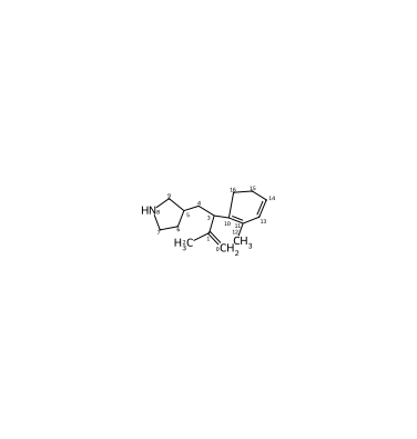 C=C(C)C(CC1CCNC1)C1=C(C)C=CCC1